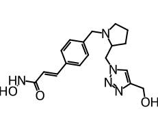 O=C(C=Cc1ccc(CN2CCCC2Cn2cc(CO)nn2)cc1)NO